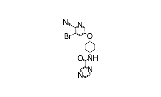 N#Cc1ncc(O[C@H]2CC[C@H](NC(=O)c3cnccn3)CC2)cc1Br